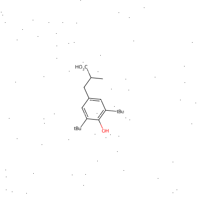 CC(Cc1cc(C(C)(C)C)c(O)c(C(C)(C)C)c1)C(=O)O